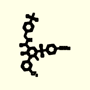 CC(=O)Nc1ccc(S(=O)(=O)c2cc(C(=O)NCc3ccc(S(C)(=O)=O)cc3)c(=O)n(-c3cccc(C(F)(F)F)c3)c2C)cc1